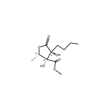 CCCC[C@@]1(O)C(=O)O[C@@H](C)[C@]1(O)C(=O)OC